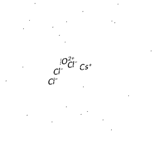 [Cl-].[Cl-].[Cl-].[Cs+].[O+2]